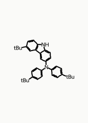 CC(C)(C)c1ccc(N(c2ccc(C(C)(C)C)cc2)c2ccc3[nH]c4ccc(C(C)(C)C)cc4c3c2)cc1